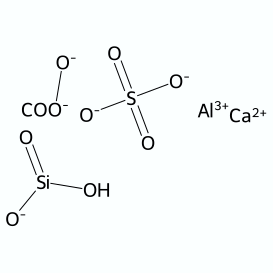 O=C([O-])[O-].O=S(=O)([O-])[O-].O=[Si]([O-])O.[Al+3].[Ca+2]